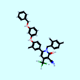 Cc1ccc(Cn2c(-c3ccc(Oc4cccc(OCc5ccccc5)c4)c(C)c3)cc(C(F)(F)F)c(C#N)c2=O)c(C)c1